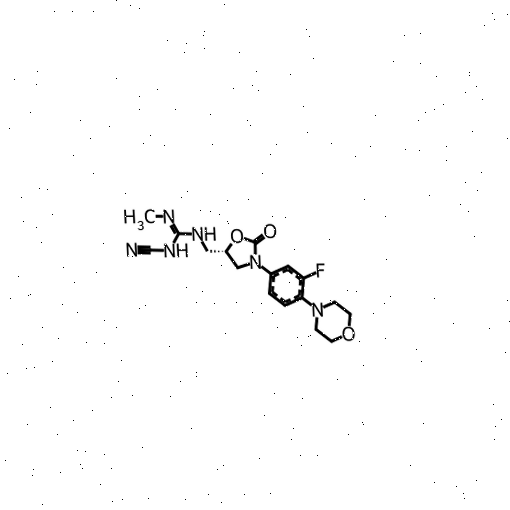 C/N=C(\NC#N)NC[C@H]1CN(c2ccc(N3CCOCC3)c(F)c2)C(=O)O1